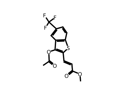 COC(=O)/C=C/c1sc2ccc(C(F)(F)F)cc2c1OC(C)=O